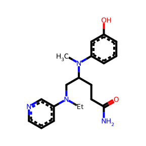 CCN(CC(CCC(N)=O)N(C)c1cccc(O)c1)c1cccnc1